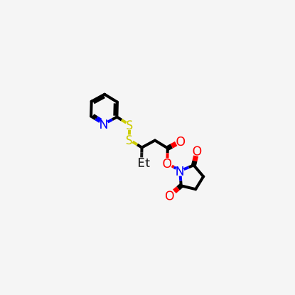 CCC(CC(=O)ON1C(=O)CCC1=O)SSc1ccccn1